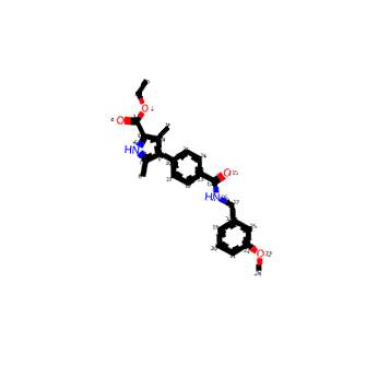 CCOC(=O)c1[nH]c(C)c(-c2ccc(C(=O)NCc3cccc(OC)c3)cc2)c1C